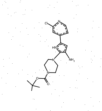 CC(C)(C)OC(=O)N1CCN(c2[nH]c(-c3ccnc(Cl)c3)cc2N)CC1